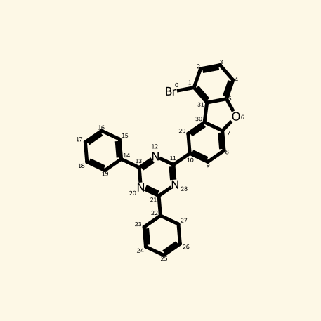 Brc1cccc2oc3ccc(-c4nc(-c5ccccc5)nc(C5C=CC=CC5)n4)cc3c12